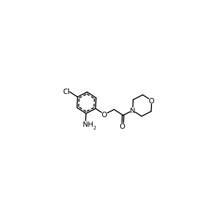 Nc1cc(Cl)ccc1OCC(=O)N1CCOCC1